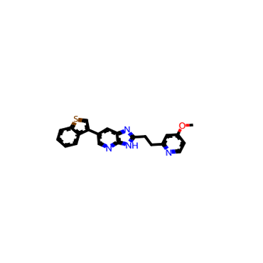 COc1ccnc(CCc2nc3cc(-c4csc5ccccc45)cnc3[nH]2)c1